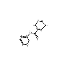 O=C(OC1=NC=COC1)N1CCCCC1